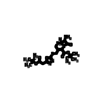 CC(C)(C)OC(=O)Cc1nnc(SCC2=C(C(=O)OC(C)(C)C)N3C(=O)C(N)[C@H]3SC2)o1